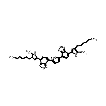 CCCCCCc1cc(-c2ccc(-c3ccc(-c4ccc(-c5cc(CCCCCC)c(C)[nH]5)c5nsnc45)[nH]3)c3nsnc23)[nH]c1C